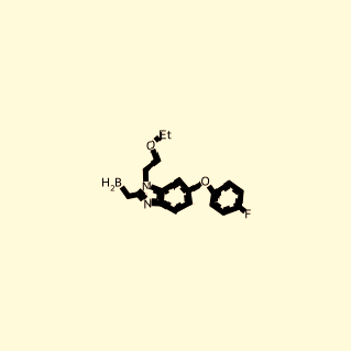 BCc1nc2ccc(Oc3ccc(F)cc3)cc2n1CCOCC